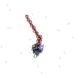 COCCOCCOCCOCCOCCOCCOCCOC(=O)OC(C)OC(=O)c1ccc(NC(=O)[C@@H]2N[C@@H](CC(C)(C)C)[C@](C#N)(c3ccc(Cl)cc3F)[C@H]2c2cccc(Cl)c2F)c(OC)c1